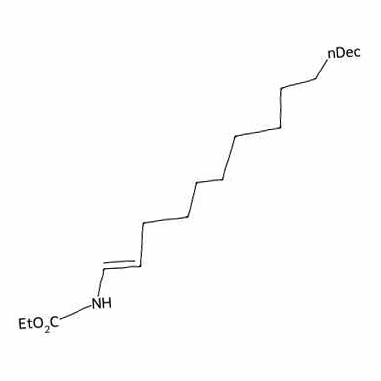 CCCCCCCCCCCCCCCCCCC=CNC(=O)OCC